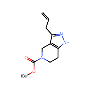 C=CCc1n[nH]c2c1CN(C(=O)OC(C)(C)C)CC2